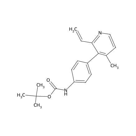 C=Cc1nccc(C)c1-c1ccc(NC(=O)OC(C)(C)C)cc1